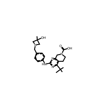 CC1(O)CN(Cc2ccc(Nc3nc4c(c(C(C)(C)C)n3)CCN(C(=O)O)C4)cc2)C1